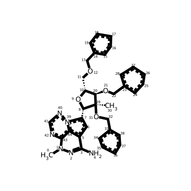 CN1N=C(N)c2cc([C@@H]3O[C@H](COCc4ccccc4)[C@@H](OCc4ccccc4)[C@@]3(C)OCc3ccccc3)n3ncnc1c23